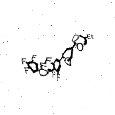 CCC1COC(C2CCC(c3cc(F)c(C(F)(F)Oc4cc(F)c(F)c(F)c4)c(F)c3)OC2)OC1